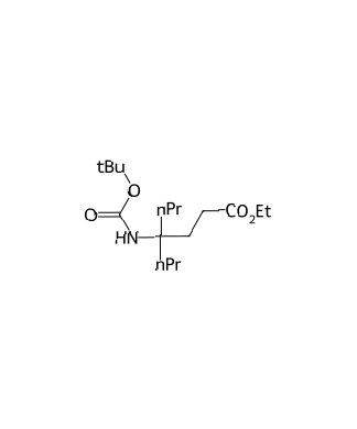 CCCC(CCC)(CCC(=O)OCC)NC(=O)OC(C)(C)C